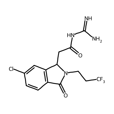 N=C(N)NC(=O)CC1c2cc(Cl)ccc2C(=O)N1CCC(F)(F)F